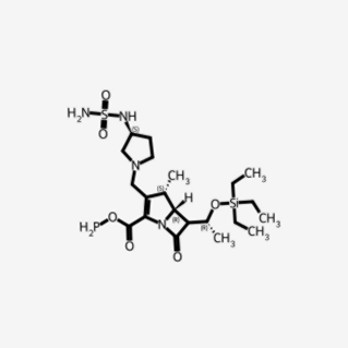 CC[Si](CC)(CC)O[C@H](C)C1C(=O)N2C(C(=O)OP)=C(CN3CC[C@H](NS(N)(=O)=O)C3)[C@H](C)[C@H]12